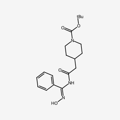 CC(C)(C)OC(=O)N1CCC(CC(=O)N/C(=N/O)c2ccccc2)CC1